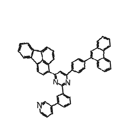 c1cncc(-c2cccc(-c3nc(-c4ccc(-c5cc6ccccc6c6ccccc56)cc4)cc(-c4ccc5c6c(cccc46)-c4ccccc4-5)n3)c2)c1